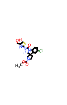 COC(=O)N1CCC2(C1)CN(C(=O)Nc1nc(CO)cs1)c1ccc(Cl)cc12